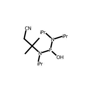 CC(C)N(C(C)C)P(O)N(C(C)C)C(C)(C)CC#N